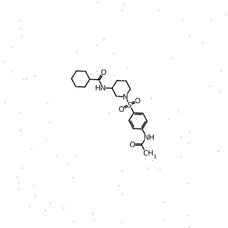 CC(=O)Nc1ccc(S(=O)(=O)N2CCCC(NC(=O)C3CCCCC3)C2)cc1